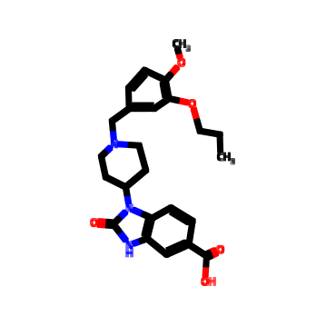 CCCOc1cc(CN2CCC(n3c(=O)[nH]c4cc(C(=O)O)ccc43)CC2)ccc1OC